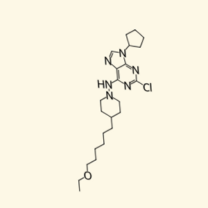 CCOCCCCCCC1CCN(Nc2nc(Cl)nc3c2ncn3C2CCCC2)CC1